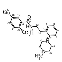 CN1CCN(c2ccccc2CCNC(=O)c2cc(C(C)(C)C)ccc2C(=O)O)CC1